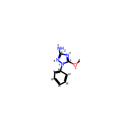 COc1nc(N)nn1-c1ccccc1